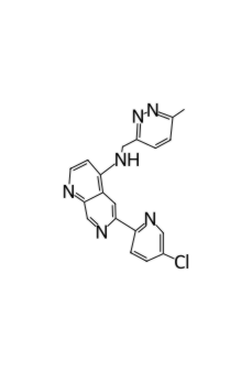 Cc1ccc(CNc2ccnc3cnc(-c4ccc(Cl)cn4)cc23)nn1